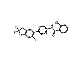 O=C(Nc1cnc(-c2cc3c(cc2Cl)OC(F)(F)C3)cn1)c1ccccc1Cl